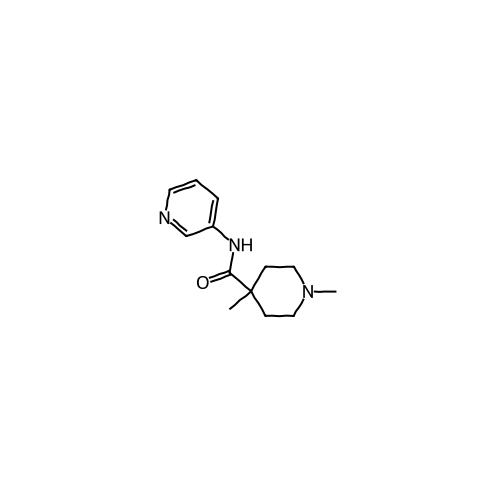 CN1CCC(C)(C(=O)Nc2cccnc2)CC1